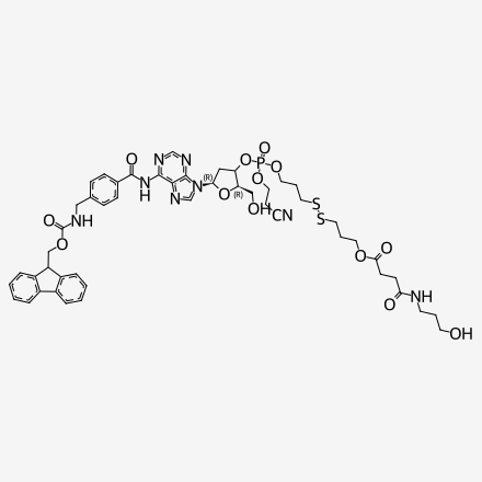 N#CCCOP(=O)(OCCCSSCCCOC(=O)CCC(=O)NCCCO)OC1C[C@H](n2cnc3c(NC(=O)c4ccc(CNC(=O)OCC5c6ccccc6-c6ccccc65)cc4)ncnc32)O[C@@H]1CO